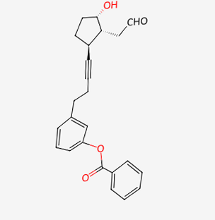 O=CC[C@H]1[C@@H](O)CC[C@@H]1C#CCCc1cccc(OC(=O)c2ccccc2)c1